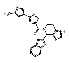 Cn1cc(-c2ncc(C(=O)N3CCc4[nH]cnc4C3c3cc4ccccn4n3)o2)cn1